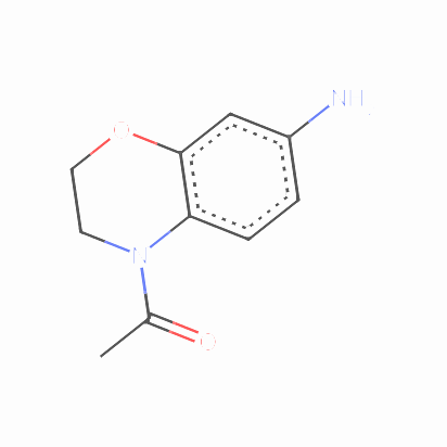 CC(=O)N1CCOc2cc(N)ccc21